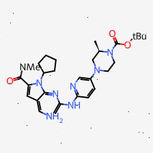 C=C(/N=C1\C(=C/N)C=C(C(=O)NC)N1C1CCCC1)Nc1ccc(N2CCN(C(=O)OC(C)(C)C)[C@H](C)C2)cn1